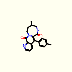 Cc1ccc(-c2c3n(c(=O)c4ncccc24)CCC(C)CNC3=O)cc1